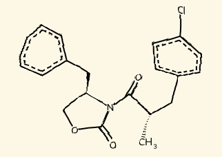 C[C@@H](Cc1ccc(Cl)cc1)C(=O)N1C(=O)OC[C@H]1Cc1ccccc1